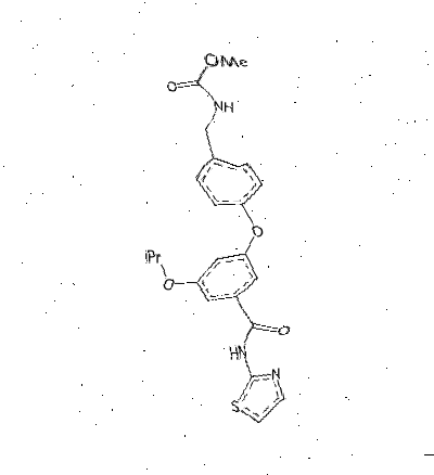 COC(=O)NCc1ccc(Oc2cc(OC(C)C)cc(C(=O)Nc3nccs3)c2)cc1